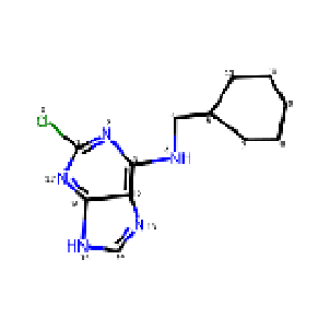 Clc1nc(NCC2CCCCC2)c2nc[nH]c2n1